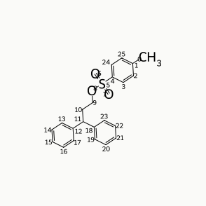 Cc1ccc(S(=O)(=O)OCCC(c2ccccc2)c2ccccc2)cc1